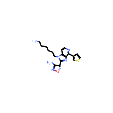 NCCCCCCn1c(-c2nonc2N)nc2c(-c3ccsc3)nccc21